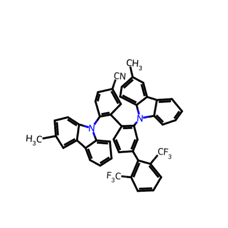 Cc1ccc2c(c1)c1ccccc1n2-c1ccc(C#N)cc1-c1ccc(-c2c(C(F)(F)F)cccc2C(F)(F)F)cc1-n1c2ccccc2c2cc(C)ccc21